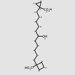 O=C(O)C1(CCCCCC(O)CCCCCC2(C(=O)O)CC2)CCC1